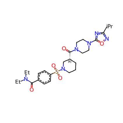 CCN(CC)C(=O)c1ccc(S(=O)(=O)N2CCC[C@@H](C(=O)N3CCN(c4nc(C(C)C)no4)CC3)C2)cc1